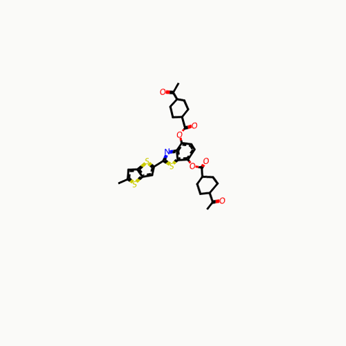 CC(=O)C1CCC(C(=O)Oc2ccc(OC(=O)C3CCC(C(C)=O)CC3)c3sc(-c4cc5sc(C)cc5s4)nc23)CC1